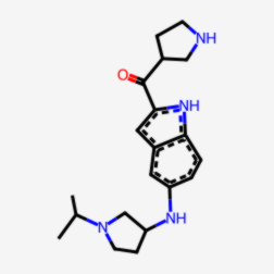 CC(C)N1CCC(Nc2ccc3[nH]c(C(=O)C4CCNC4)cc3c2)C1